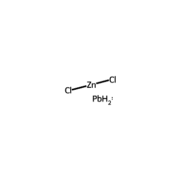 [Cl][Zn][Cl].[PbH2]